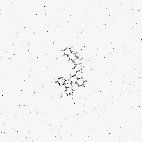 c1ccc(-c2ccccc2-c2ccc(-c3ccc4sc5cc6ccccc6cc5c4c3)c3ccccc23)cc1